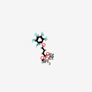 CCOC(CCCOc1c(F)c(F)c(F)c(F)c1F)(O[SiH3])OCC